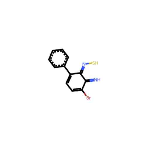 N=C1C(Br)=CC=C(c2ccccc2)/C1=N/S